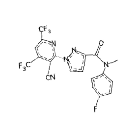 CN(C(=O)c1ccn(-c2nc(C(F)(F)F)cc(C(F)(F)F)c2C#N)n1)c1ccc(F)cc1